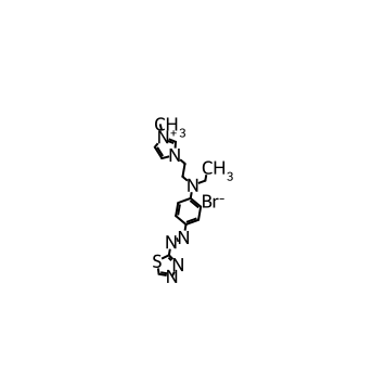 CCN(CCn1cc[n+](C)c1)c1ccc(N=Nc2nncs2)cc1.[Br-]